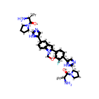 CC(C)[C@H](N)C(=O)N1CCC[C@H]1c1ncc(-c2ccc3c(c2)cc2n3COc3c-2ccc(-c2cnc([C@@H]4CCCN4C(=O)[C@@H](N)C(C)C)[nH]2)c3F)[nH]1